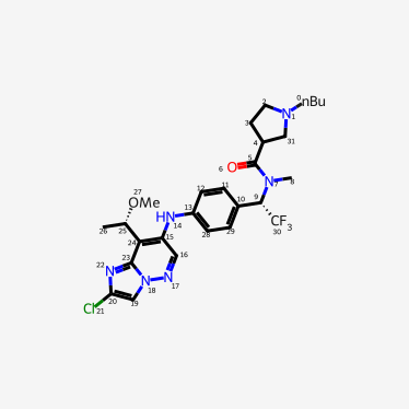 CCCCN1CCC(C(=O)N(C)[C@@H](c2ccc(Nc3cnn4cc(Cl)nc4c3[C@H](C)OC)cc2)C(F)(F)F)C1